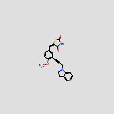 COc1ccc(C=C2SC(=O)NC2=O)cc1C#CCN1CCc2ccccc21